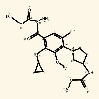 CCOc1c(NC2CC2)c(C(=O)N(N)C(=O)OC(C)(C)C)cc(F)c1N1CCC(NC(=O)OC(C)(C)C)C1